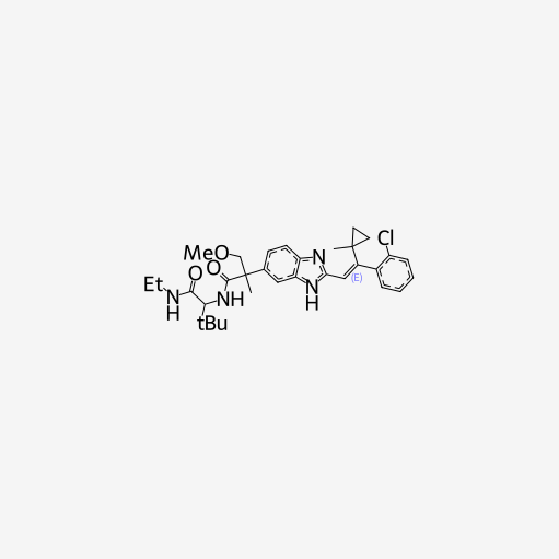 CCNC(=O)C(NC(=O)C(C)(COC)c1ccc2nc(/C=C(/c3ccccc3Cl)C3(C)CC3)[nH]c2c1)C(C)(C)C